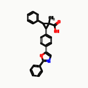 CC1(C(=O)O)C(c2ccccc2)C1c1ccc(-c2cnc(-c3ccccc3)o2)cc1